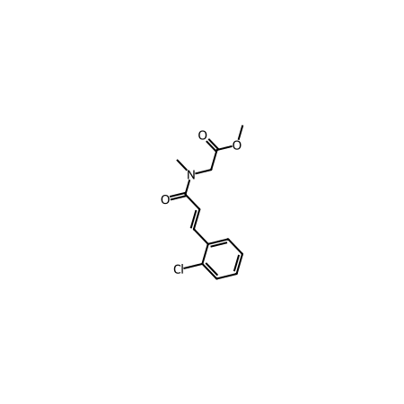 COC(=O)CN(C)C(=O)C=Cc1ccccc1Cl